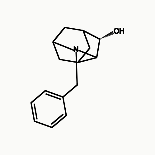 O[C@H]1C2CC3CC(C2)C1N(Cc1ccccc1)C3